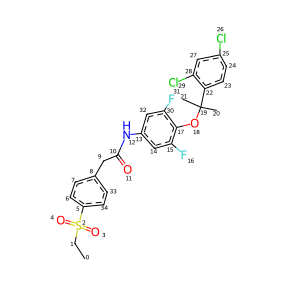 CCS(=O)(=O)c1ccc(CC(=O)Nc2cc(F)c(OC(C)(C)c3ccc(Cl)cc3Cl)c(F)c2)cc1